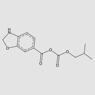 CC(C)COC(=O)OC(=O)c1ccc2c(c1)OCN2